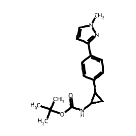 Cn1ccc(-c2ccc(C3CC3NC(=O)OC(C)(C)C)cc2)n1